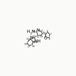 Nc1ncc(-c2ccco2)cc1-c1nc2ccccc2[nH]1